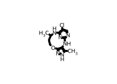 Cc1[nH]nc2c1Nc1ncc(Cl)c(n1)NC(C)CCO2